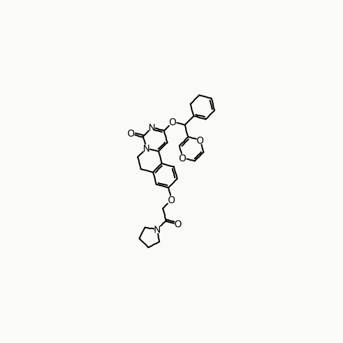 O=C(COc1ccc2c(c1)CCn1c-2cc(OC(C2=CC=CCC2)C2=COC=CO2)nc1=O)N1CCCC1